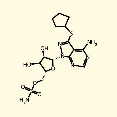 Nc1ncnc2c1c(SC1CCCC1)nn2[C@@H]1O[C@H](COS(N)(=O)=O)[C@@H](O)[C@H]1O